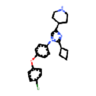 Clc1ccc(Oc2ccc(-n3cc(C4CCNCC4)nc3C3CCC3)cc2)cc1